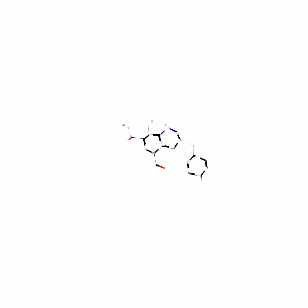 CNC(=O)c1cc(C(=O)O)c2cc(Cc3ccc(F)cc3)cnc2c1O